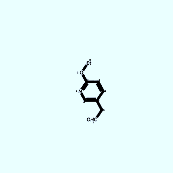 CCOc1ccc(CC=O)cn1